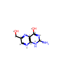 NC1N=C(O)c2nc(CO)cnc2N1